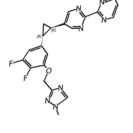 Cn1cnc(COc2cc([C@@H]3C[C@H]3c3cnc(-c4ncccn4)nc3)cc(F)c2F)n1